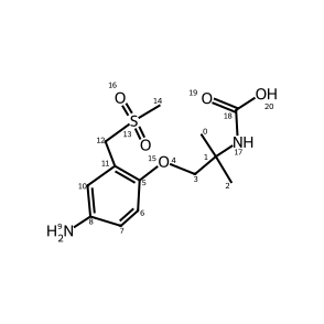 CC(C)(COc1ccc(N)cc1CS(C)(=O)=O)NC(=O)O